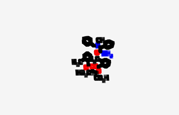 CN(Cc1ccccc1)[C@H](C(N)=O)c1ccccc1.Cc1ccccc1C(=O)O[C@@H](C(=O)O)[C@@H](OC(=O)c1ccccc1C)C(=O)O